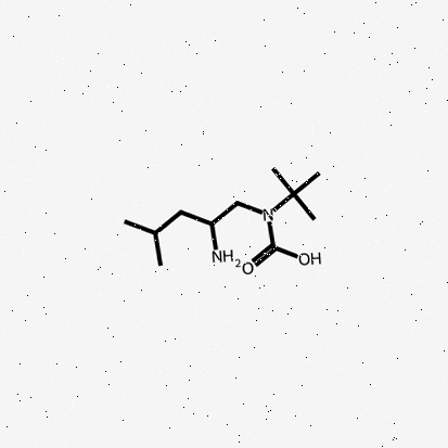 CC(C)CC(N)CN(C(=O)O)C(C)(C)C